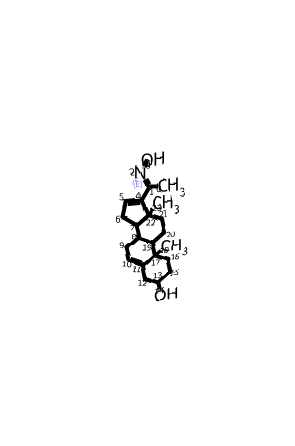 C/C(=N\O)C1=CCC2C3CC=C4CC(O)CCC4(C)C3CCC12C